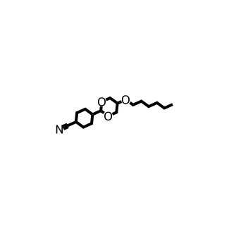 CCCCCCOC1COC(C2CCC(C#N)CC2)OC1